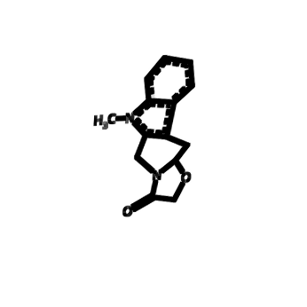 Cn1c2c(c3ccccc31)CC1OCC(=O)N1C2